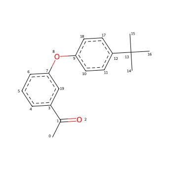 CC(=O)c1cccc(Oc2ccc(C(C)(C)C)cc2)c1